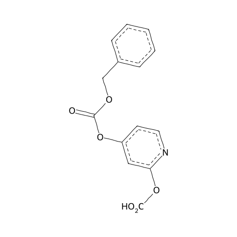 O=C(O)Oc1cc(OC(=O)OCc2ccccc2)ccn1